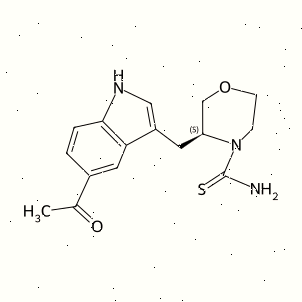 CC(=O)c1ccc2[nH]cc(C[C@H]3COCCN3C(N)=S)c2c1